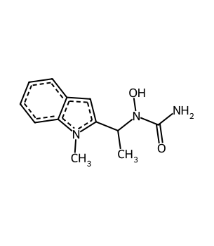 CC(c1cc2ccccc2n1C)N(O)C(N)=O